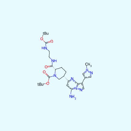 Cn1cc(-c2cnn3c(N)cc([C@H]4CC[C@@H](C(=O)NCCNC(=O)OC(C)(C)C)N(C(=O)OC(C)(C)C)C4)nc23)cn1